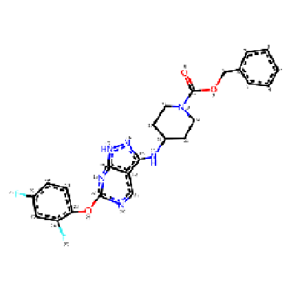 O=C(OCc1ccccc1)N1CCC(Nc2n[nH]c3nc(Oc4ccc(F)cc4F)ncc23)CC1